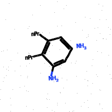 CCCc1cccc(N)c1CCC.N